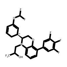 OC(CN1c2cccc(-c3cc(F)c(F)c(F)c3)c2OCC1[C@@H]1C=C(OC(F)F)C=CC1)C(F)(F)F